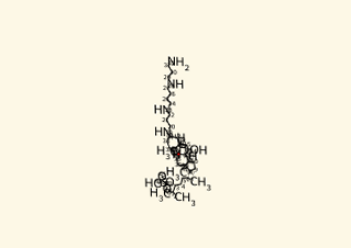 CC(C)C(CCC(C)[C@H]1CC[C@H]2[C@@H]3[C@H](O)C[C@H]4C[C@@H](NCCCNCCCCNCCCN)CC[C@]4(C)[C@H]3CC[C@]12C)OS(=O)(=O)O